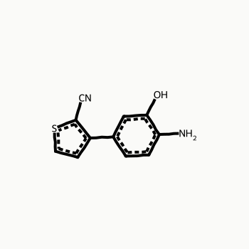 N#Cc1sccc1-c1ccc(N)c(O)c1